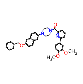 COc1ccc(-c2cccc(C(=O)N3CCN(c4ccc5cc(OCc6ccccc6)ccc5c4)CC3)n2)cc1OC